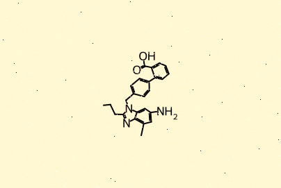 CCCc1nc2c(C)cc(N)cc2n1Cc1ccc(-c2ccccc2C(=O)O)cc1